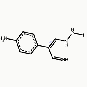 N=C/C(=C\NPI)c1ccc(N)cc1